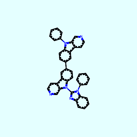 c1ccc(-n2c(-n3c4ccc(-c5ccc6c(c5)c5ccncc5n6-c5ccccc5)cc4c4ccncc43)nc3ccccc32)cc1